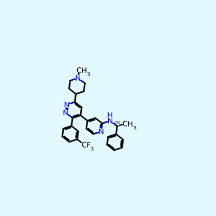 C[C@H](Nc1cc(-c2cc(C3CCN(C)CC3)nnc2-c2cccc(C(F)(F)F)c2)ccn1)c1ccccc1